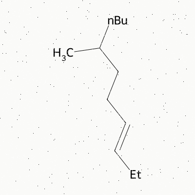 CCC=CCCC(C)CCCC